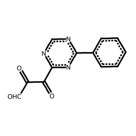 O=CC(=O)C(=O)c1ncnc(-c2ccccc2)n1